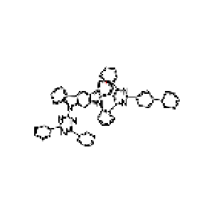 c1ccc(-c2ccc(-c3nc(-c4ccccc4)cc(-c4ccccc4-n4c5ccccc5c5cc6c7ccccc7n(-c7nc(-c8ccccc8)nc(-c8ccccc8)n7)c6cc54)n3)cc2)cc1